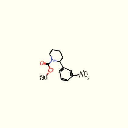 CC(C)(C)OC(=O)N1CCCCC1c1cccc([N+](=O)[O-])c1